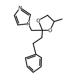 CC1COC(CCc2ccccc2)(Cn2ccnc2)O1